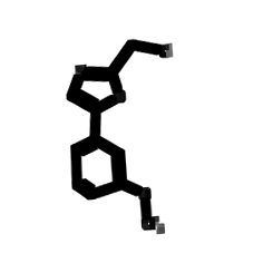 FC(F)(F)Oc1cccc(-c2cnc(CCl)o2)c1